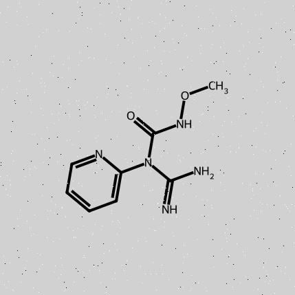 CONC(=O)N(C(=N)N)c1ccccn1